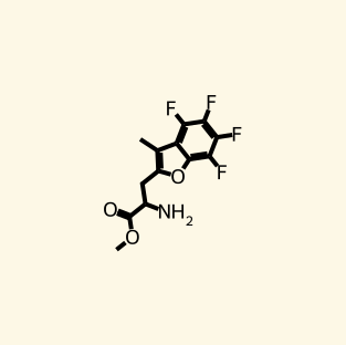 COC(=O)C(N)Cc1oc2c(F)c(F)c(F)c(F)c2c1C